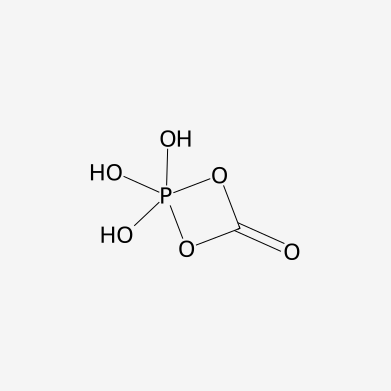 O=C1OP(O)(O)(O)O1